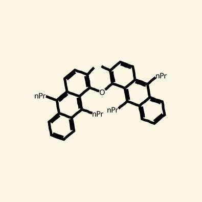 CCCc1c2ccccc2c(CCC)c2c(Oc3c(C)ccc4c(CCC)c5ccccc5c(CCC)c34)c(C)ccc12